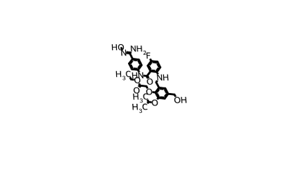 CCOC(=O)COc1c(CNc2ccc(F)cc2C(=O)Nc2ccc(/C(N)=N/O)cc2)cc(CO)cc1OC(C)C